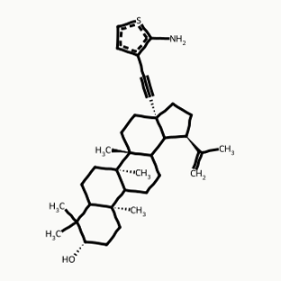 C=C(C)[C@@H]1CC[C@]2(C#Cc3ccsc3N)CC[C@]3(C)C(CCC4[C@@]5(C)CC[C@H](O)C(C)(C)C5CC[C@]43C)C12